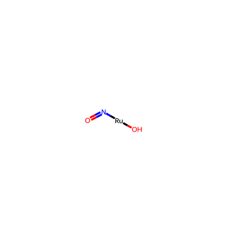 O=[N][Ru][OH]